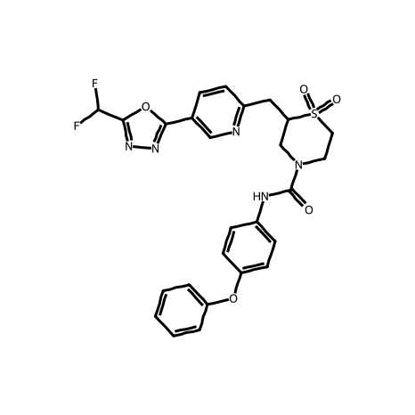 O=C(Nc1ccc(Oc2ccccc2)cc1)N1CCS(=O)(=O)C(Cc2ccc(-c3nnc(C(F)F)o3)cn2)C1